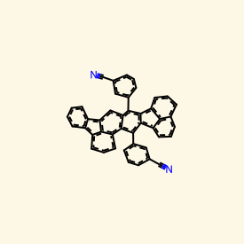 N#Cc1cccc(-c2c3cc4c5ccccc5c5cccc(c3c(-c3cccc(C#N)c3)c3c6cccc7cccc(c23)c76)c54)c1